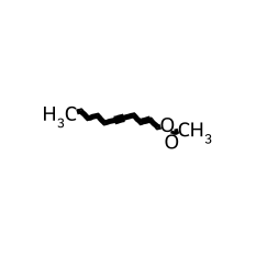 CCCCCC#CCC=CCOC(C)=O